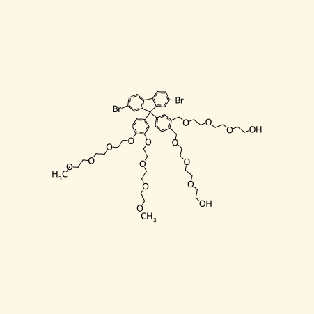 COCCOCCOCCOc1ccc(C2(c3ccc(COCCOCCOCCO)c(COCCOCCOCCO)c3)c3cc(Br)ccc3-c3ccc(Br)cc32)cc1OCCOCCOCCOC